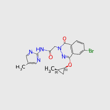 Cc1cnc(NC(=O)Cn2nc(O[C@H]3C[C@H]3C)c3cc(Br)ccc3c2=O)nc1